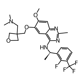 COc1cc2nc(C)nc(N[C@H](C)c3cccc(C(F)(F)F)c3F)c2cc1OCC1(CN(C)C)COC1